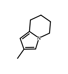 Cc1cc2n(c1)CCCC2